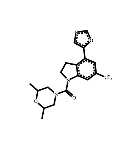 CC1CN(C(=O)N2CCc3c(-c4cnco4)cc(C(F)(F)F)cc32)CC(C)O1